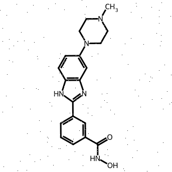 CN1CCN(c2ccc3[nH]c(-c4cccc(C(=O)NO)c4)nc3c2)CC1